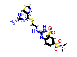 CN(C)S(=O)(=O)c1ccc2c(c1)S(=O)(=O)NC(NCCSC(N=C(N)N)c1cscn1)=N2